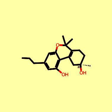 CCCc1cc(O)c2c(c1)OC(C)(C)C1=C2C[C@](C)(O)CC1